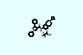 O=C(Nc1ccc2c(c1)CCN(C1CCC1)CC2)c1cn(-c2ccccc2)nc1-c1ccccc1.O=C(O)C(F)(F)F